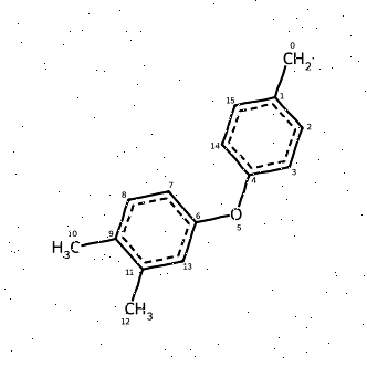 [CH2]c1ccc(Oc2ccc(C)c(C)c2)cc1